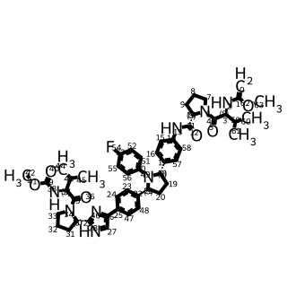 C=C(N[C@H](C(=O)N1CCC[C@H]1C(=O)Nc1ccc([C@@H]2CC[C@@H](c3ccc(-c4c[nH]c([C@@H]5CCCN5C(=O)[C@@H](NC(=O)OC)C(C)C)n4)cc3)N2c2ccc(F)cc2)cc1)C(C)C)OC